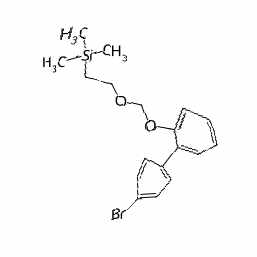 C[Si](C)(C)CCOCOc1ccccc1-c1ccc(Br)cc1